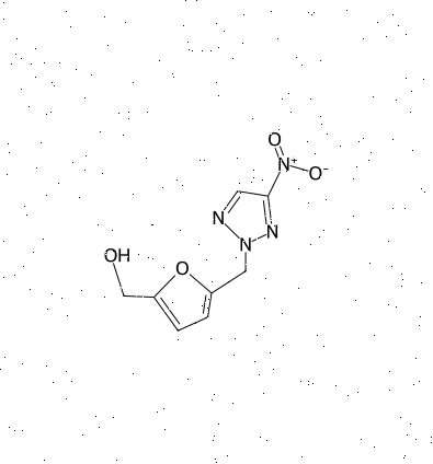 O=[N+]([O-])c1cnn(Cc2ccc(CO)o2)n1